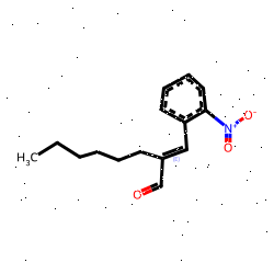 CCCCCC/C(C=O)=C\c1ccccc1[N+](=O)[O-]